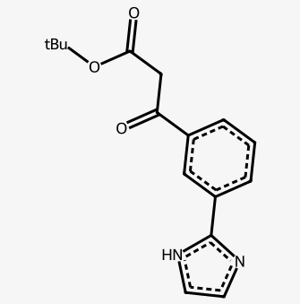 CC(C)(C)OC(=O)CC(=O)c1cccc(-c2ncc[nH]2)c1